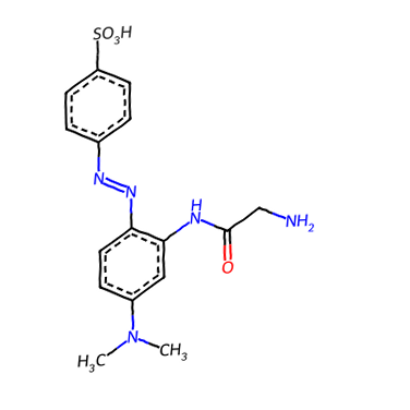 CN(C)c1ccc(/N=N/c2ccc(S(=O)(=O)O)cc2)c(NC(=O)CN)c1